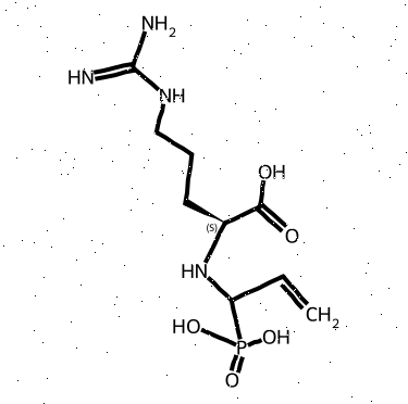 C=CC(N[C@@H](CCCNC(=N)N)C(=O)O)P(=O)(O)O